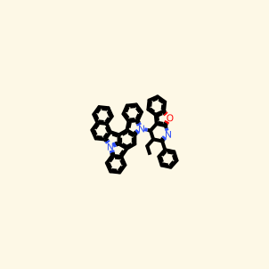 CCC1C(c2ccccc2)=Nc2oc3ccccc3c2C1n1c2ccccc2c2c3c4c5ccccc5ccc4n4c5ccccc5c(cc21)c34